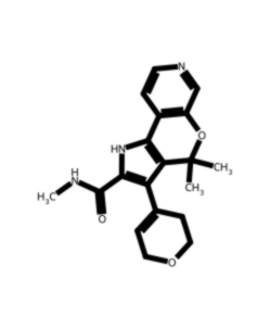 CNC(=O)c1[nH]c2c(c1C1=CCOCC1)C(C)(C)Oc1cnccc1-2